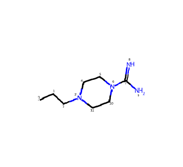 [CH2]CCN1CCN(C(=N)N)CC1